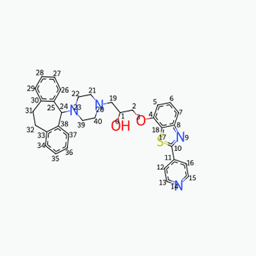 OC(COc1cccc2nc(-c3ccncc3)sc12)CN1CCN(C2c3ccccc3CCc3ccccc32)CC1